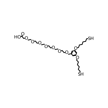 O=C(O)COCCOCCOCCOCCOCCOCCOCc1cc(OCCCCCCS)cc(OCCCCCCS)c1